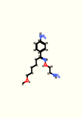 COCCCCCC(=NOCCN)c1ccc(N)cc1